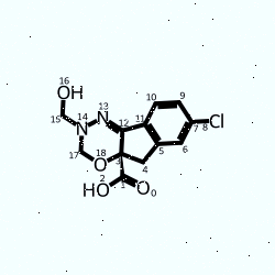 O=C(O)[C@]12Cc3cc(Cl)ccc3C1=NN(CO)CO2